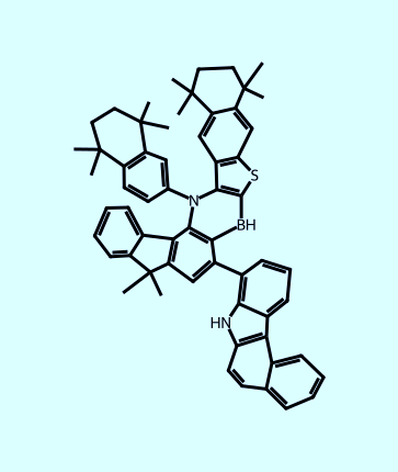 CC1(C)CCC(C)(C)c2cc(N3c4c(c(-c5cccc6c5[nH]c5ccc7ccccc7c56)cc5c4-c4ccccc4C5(C)C)Bc4sc5cc6c(cc5c43)C(C)(C)CCC6(C)C)ccc21